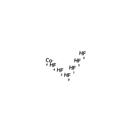 F.F.F.F.F.F.[Co]